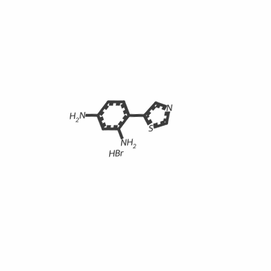 Br.Nc1ccc(-c2cncs2)c(N)c1